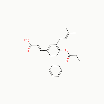 CCC(=O)Oc1ccc(/C=C/C(=O)O)cc1CC=C(C)C.c1ccccc1